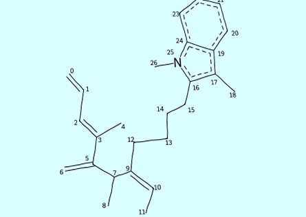 C=C/C=C(\C)C(=C)C(C)/C(=C\C)CCCCc1c(C)c2ccccc2n1C